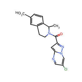 CC1c2ccc(C(=O)O)cc2CCN1C(=O)c1cc2ncc(Cl)cn2n1